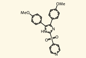 COc1ccc(-c2nc(S(=O)(=O)c3ccncc3)[nH]c2-c2ccc(OC)cc2)cc1